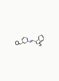 O=Cc1cccc(/C=C/c2csc3ccccc23)c1